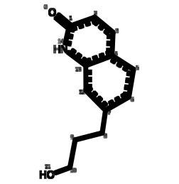 O=c1ccc2ccc(CCCO)cc2[nH]1